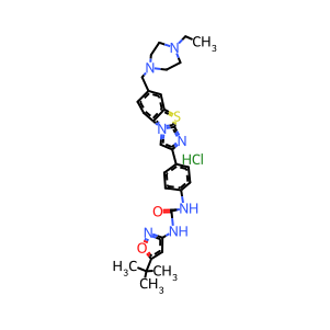 CCN1CCN(Cc2ccc3c(c2)sc2nc(-c4ccc(NC(=O)Nc5cc(C(C)(C)C)on5)cc4)cn23)CC1.Cl